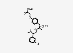 COC(=O)COc1ccc(CC(C)NCC(c2cccc(Cl)c2)N(C)C)cc1.Cl.Cl